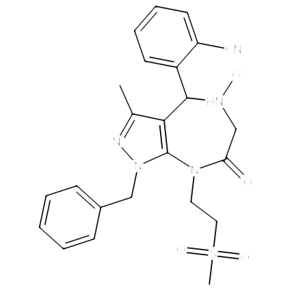 Cc1nn(Cc2ccccc2)c2c1C(c1ccccc1C#N)[NH+]([O-])CC(=O)N2CCS(C)(=O)=O